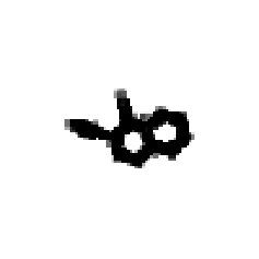 N#Cc1ccc2ccccn2c1=O